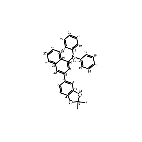 CC1(C)Oc2ccc(-c3cc(N(c4ccccc4)c4ccccc4)c4ccccc4c3)cc2O1